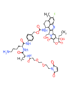 CCCC1(O)C(=O)OCc2c1cc1n(c2=O)C(CO)c2c-1nc1cc(F)c(C)c3c1c2C(NC(=O)OCc1ccc(NC(=O)[C@H](CCCCN)NC(=O)[C@H](C)NC(=O)CCOCCOCCN2C(=O)C=CC2=O)cc1)CC3